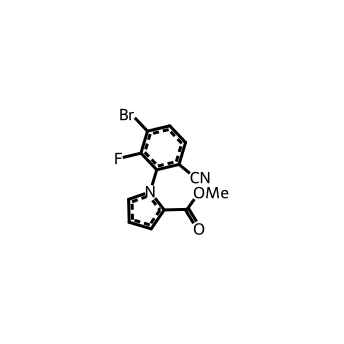 COC(=O)c1cccn1-c1c(C#N)ccc(Br)c1F